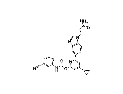 N#Cc1ccnc(NC(=O)Oc2cc(C3CC3)cc(-c3ccc4c(c3)ncn4CCC(N)=O)n2)c1